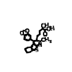 Cc1nc2sc3c(c2c(-c2ccc4c(c2)OCO4)c1CCCC(C)C(=O)O)CCCC3